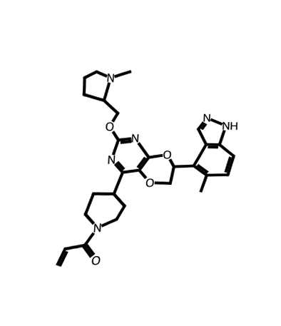 C=CC(=O)N1CCC(c2nc(OCC3CCCN3C)nc3c2OCC(c2c(C)ccc4[nH]ncc24)O3)CC1